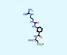 N=C(N)NCCNC(=O)Nc1cccc(C(=O)N[C@H]([C]=O)CC(=O)O)c1